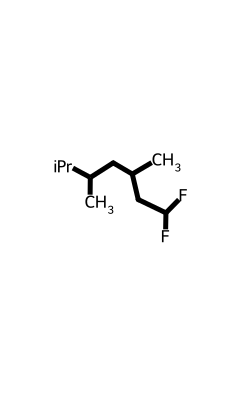 CC(CC(F)F)CC(C)C(C)C